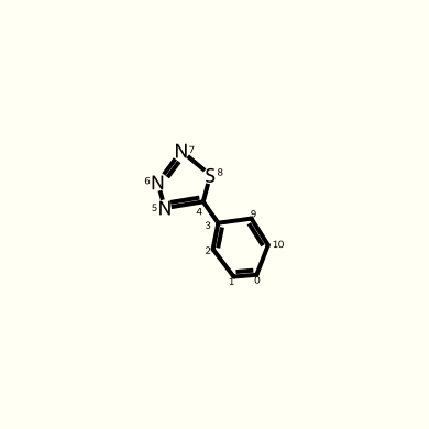 c1ccc(-c2nnns2)cc1